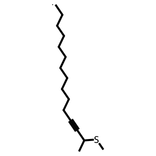 [CH2]CCCCCCCCCCC#CC(C)SC